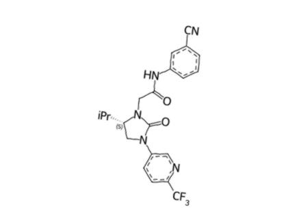 CC(C)[C@H]1CN(c2ccc(C(F)(F)F)nc2)C(=O)N1CC(=O)Nc1cccc(C#N)c1